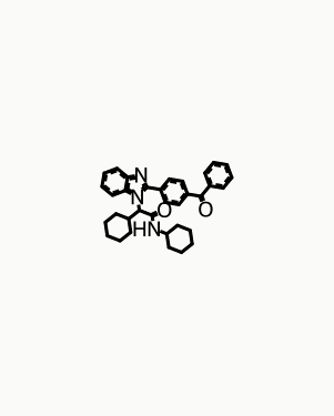 O=C(c1ccccc1)c1ccc(-c2nc3ccccc3n2C(C(=O)NC2CCCCC2)C2CCCCC2)cc1